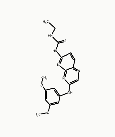 CCNC(=S)Nc1ccc2ncc(Nc3cc(OC)cc(OC)c3)nc2n1